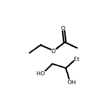 CCC(O)CO.CCOC(C)=O